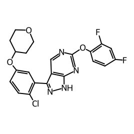 Fc1ccc(Oc2ncc3c(-c4cc(OC5CCOCC5)ccc4Cl)n[nH]c3n2)c(F)c1